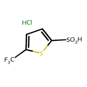 Cl.O=S(=O)(O)c1ccc(C(F)(F)F)s1